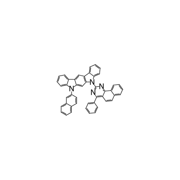 c1ccc(-c2nc(-n3c4ccccc4c4cc5c6ccccc6n(-c6ccc7ccccc7c6)c5cc43)nc3c2ccc2ccccc23)cc1